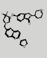 O=C1c2ccc(O[C@@H]3CN(Cc4ccc5nc([C@@H]6CCOC6)ccc5c4)CC3(F)F)cc2CN1C1CCCNC1